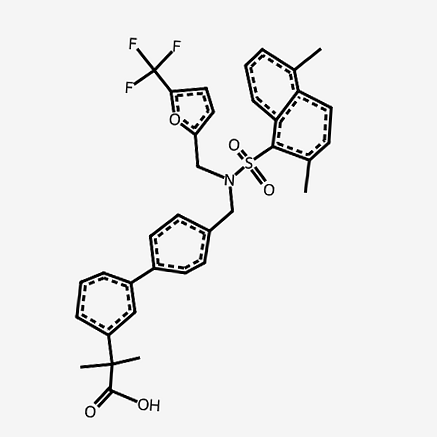 Cc1ccc2c(C)cccc2c1S(=O)(=O)N(Cc1ccc(-c2cccc(C(C)(C)C(=O)O)c2)cc1)Cc1ccc(C(F)(F)F)o1